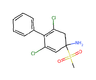 CS(=O)(=O)C1(N)C=C(Cl)C(c2ccccc2)=C(Cl)C1